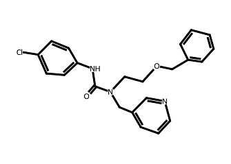 O=C(Nc1ccc(Cl)cc1)N(CCOCc1ccccc1)Cc1cccnc1